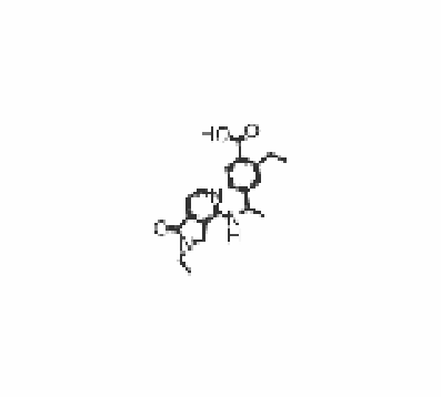 CCc1cc(C(C)Nc2nccc3c2CN(CC)C3=O)ccc1C(=O)O